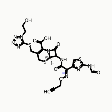 C#CCO/N=C(\C(=O)NC1C(=O)N2C(C(=O)O)=C(CSc3nnnn3CCO)CS[C@H]12)c1csc(NC=O)n1